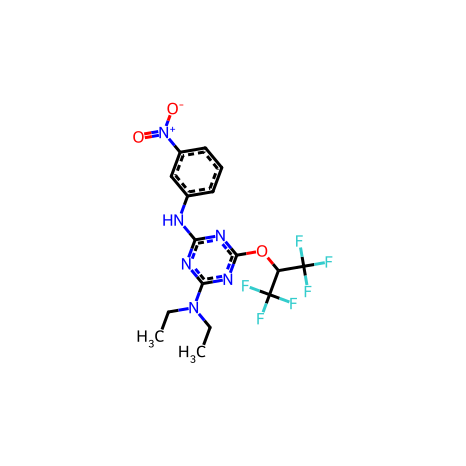 CCN(CC)c1nc(Nc2cccc([N+](=O)[O-])c2)nc(OC(C(F)(F)F)C(F)(F)F)n1